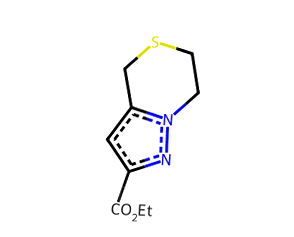 CCOC(=O)c1cc2n(n1)CCSC2